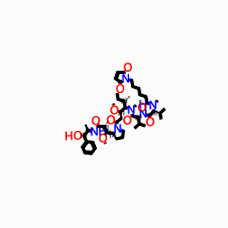 CC[C@H](C)C([C@@H](CC(=O)N1CCC[C@H]1[C@H](OC)[C@@H](C)C(=O)N[C@H](C)[C@@H](O)c1ccccc1)OC)N(C)C(=O)[C@@H](NC(=O)[C@H](C(C)C)N(C)C(=O)CCCCCN1C(=O)C=CC1=O)C(C)C